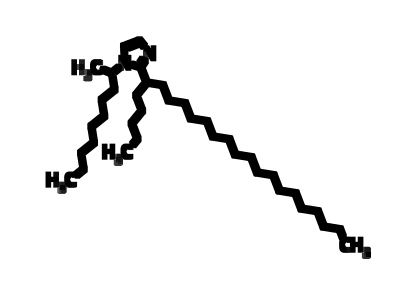 CCCCCCCCCCCCCCCCCCC(CCCCC)c1nccn1C(C)CCCCCCCC